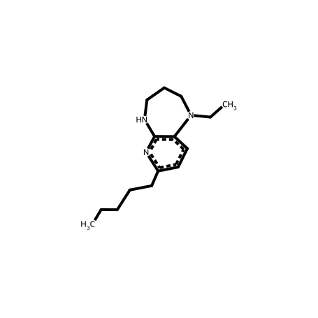 CCCCCc1ccc2c(n1)NCCCN2CC